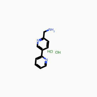 Cl.Cl.NCc1ccc(-c2ccccn2)cn1